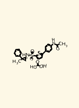 CC(=O)Nc1ccc(-c2ccc(S(=O)(=O)N[C@H]3C[C@]3(C)c3ccccc3)s2)cc1.O=C(O)O